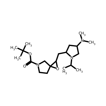 CC(C)N1CC(N(C)C)CC1CC1OC12CCN(C(=O)OC(C)(C)C)C2